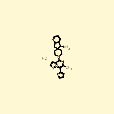 Cc1nc(N2CCC3(CC2)Cc2ncccc2[C@H]3N)c2ccnn2c1-c1cccs1.Cl